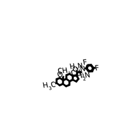 COCC12CCC(C)CC1CCC1C3CCC(C(=O)CN(N)c4c(N)cc(F)cc4F)C3(C)CCC12